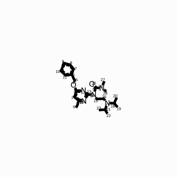 Cc1cc(OCc2ccccc2)nc(N(CCN(C(C)C)C(C)C)C(=O)N(C)C)n1